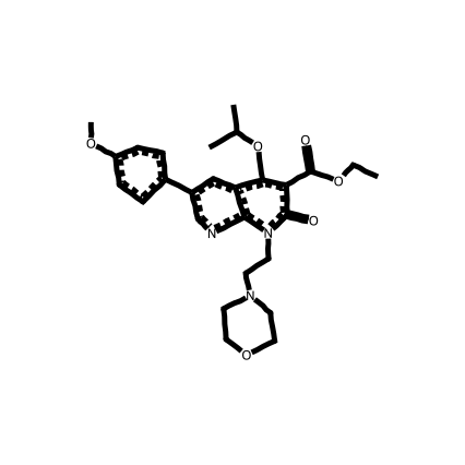 CCOC(=O)c1c(OC(C)C)c2cc(-c3ccc(OC)cc3)cnc2n(CCN2CCOCC2)c1=O